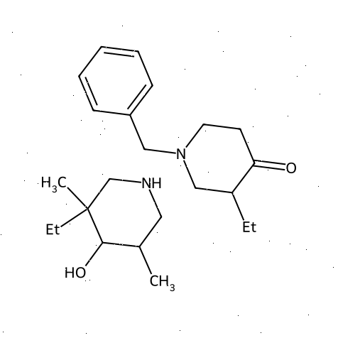 CCC1(C)CNCC(C)C1O.CCC1CN(Cc2ccccc2)CCC1=O